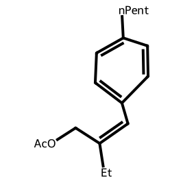 CCCCCc1ccc(C=C(CC)COC(C)=O)cc1